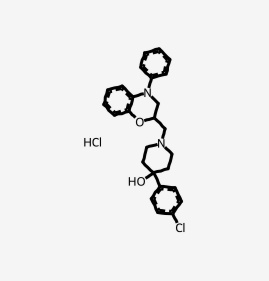 Cl.OC1(c2ccc(Cl)cc2)CCN(CC2CN(c3ccccc3)c3ccccc3O2)CC1